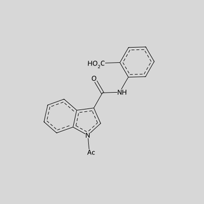 CC(=O)n1cc(C(=O)Nc2ccccc2C(=O)O)c2ccccc21